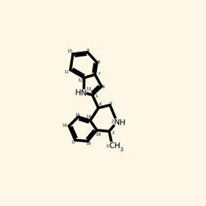 CC1NCC(c2cc3ccccc3[nH]2)c2ccccc21